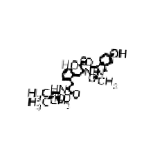 CC(=O)N1Cc2cc(O)ccc2C1C(=O)NC(Cc1ccccc1CC(NC(=O)CC(C)(C)C)C(=O)O)C(=O)O